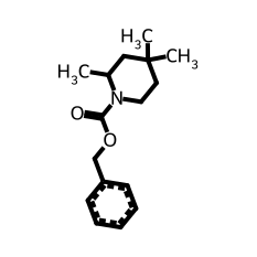 CC1CC(C)(C)CCN1C(=O)OCc1ccccc1